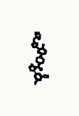 N#Cc1cc(F)cc([C@@H]2CC=NN2C(=O)N2CCN(c3ccc(F)c(-c4ccn(CC(N)=O)n4)n3)CC2)c1